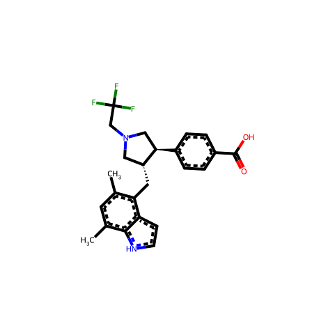 Cc1cc(C)c2[nH]ccc2c1C[C@@H]1CN(CC(F)(F)F)C[C@H]1c1ccc(C(=O)O)cc1